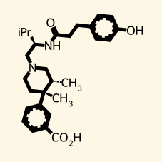 CC(C)[C@H](CN1CC[C@@](C)(c2cccc(C(=O)O)c2)[C@@H](C)C1)NC(=O)CCc1ccc(O)cc1